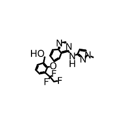 Cn1ccc(Nc2ncnc3ccc(Oc4c(CO)cccc4C(F)(F)CF)cc23)n1